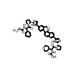 COC(=O)N[C@@H](C(=O)N1CCC[C@H]1c1ncc(-c2ccc3c(c2)COc2c-3ccc3cc(-c4cnc([C@@H]5CCCN5C(=O)[C@@H](NC(=O)O)C5CCOCC5)[nH]4)ccc23)[nH]1)c1ccccc1